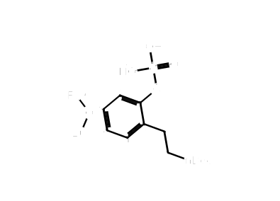 CCCCCCCCCCCCc1ccccc1OP(=O)(O)O.CCOCC